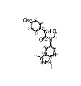 Cc1nn(C)c2ncc(N(C=O)C(=O)Nc3ccc(Cl)cc3)cc12